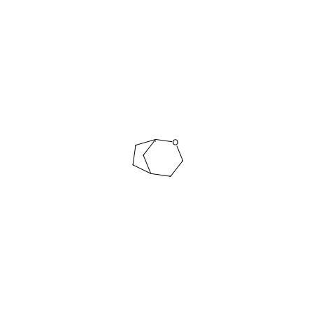 C1CC2CC[C](C2)O1